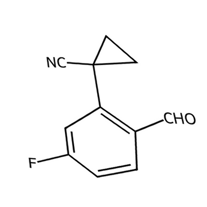 N#CC1(c2cc(F)ccc2C=O)CC1